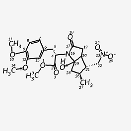 COC(=O)[C@H](Cc1ccc(OC)c(OC)c1)N1C(=O)CC2[C@H](C[N+](=O)[O-])[C@@H](C)CC21O